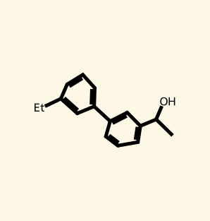 CCc1cccc(-c2cccc(C(C)O)c2)c1